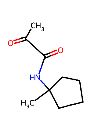 CC(=O)C(=O)NC1(C)CCCC1